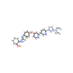 CN(C)[C@H]1CCN(c2ccc(-c3cc(Oc4ccc5nc(N[C@@H]6CCCC[C@H]6O)sc5c4)ccn3)cn2)C1